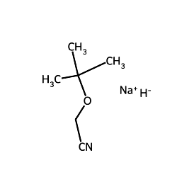 CC(C)(C)OCC#N.[H-].[Na+]